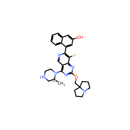 C[C@H]1CNCCN1c1nc(OCC23CCCN2CCC3)nc2c(F)c(-c3cc(O)cc4ccccc34)ncc12